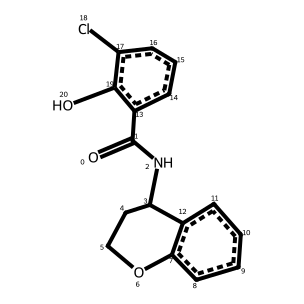 O=C(NC1CCOc2ccccc21)c1cccc(Cl)c1O